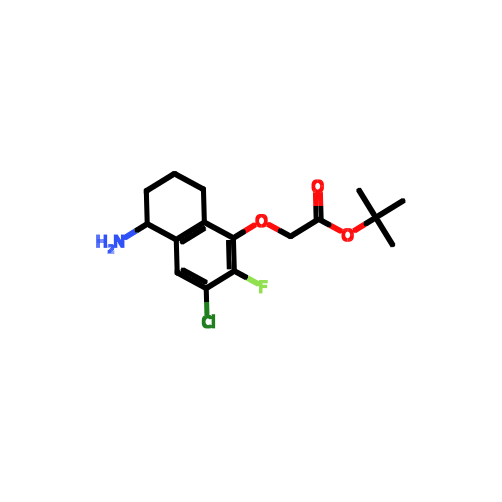 CC(C)(C)OC(=O)COc1c(F)c(Cl)cc2c1CCCC2N